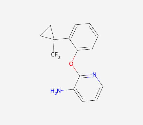 Nc1cccnc1Oc1ccccc1C1(C(F)(F)F)CC1